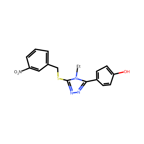 CCn1c(SCc2cccc([N+](=O)[O-])c2)nnc1-c1ccc(O)cc1